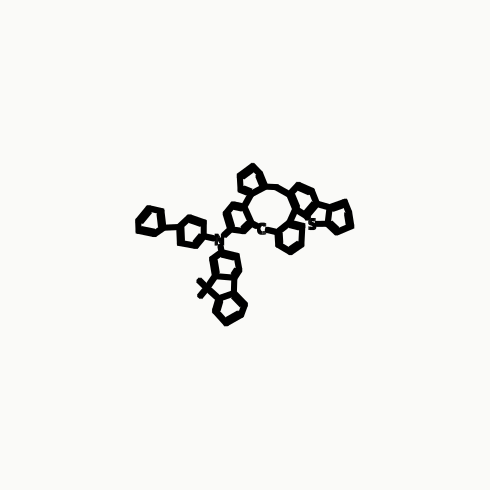 CC1(C)c2ccccc2-c2ccc(N(c3ccc(-c4ccccc4)cc3)c3ccc4c(c3)Cc3ccccc3-c3c(ccc5c3sc3ccccc35)Cc3ccccc3-4)cc21